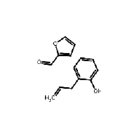 C=CCc1ccccc1O.O=Cc1ccco1